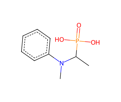 CC(N(C)c1ccccc1)P(=O)(O)O